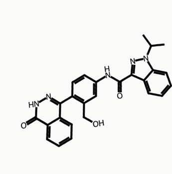 CC(C)n1nc(C(=O)Nc2ccc(-c3n[nH]c(=O)c4ccccc34)c(CO)c2)c2ccccc21